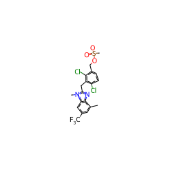 Cc1cc(C(F)(F)F)cc2c1nc(Cc1c(Cl)ccc(COS(C)(=O)=O)c1Cl)n2C